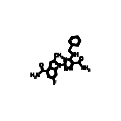 Cc1cc2c(C(N)=O)cc(F)cc2n1-c1nnc(C(N)=O)c(NCc2ccccc2)n1